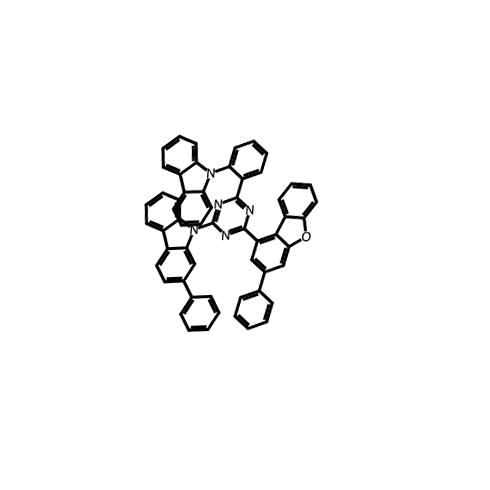 c1ccc(-c2cc(-c3nc(-c4ccccc4-n4c5ccccc5c5ccccc54)nc(-n4c5ccccc5c5ccc(-c6ccccc6)cc54)n3)c3c(c2)oc2ccccc23)cc1